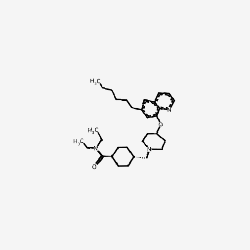 CCCCCCc1cc(OC2CCN(C[C@H]3CC[C@H](C(=O)N(CC)CC)CC3)CC2)c2ncccc2c1